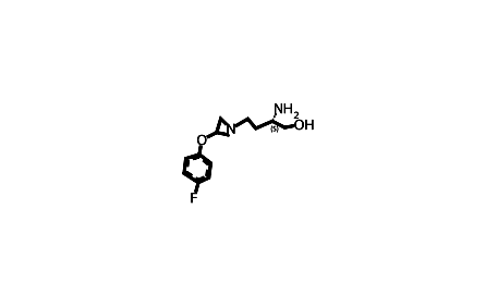 N[C@H](CO)CCN1CC(Oc2ccc(F)cc2)C1